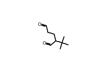 CC(C)(C)C(C=O)CCC=O